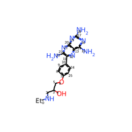 CCNCC(O)COc1ccc(-c2nc3c(N)nc(N)nc3nc2N)cc1